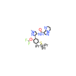 CC(C)[Si](Sc1ccc(OC(F)F)c(-c2nn(C)cc2NC(=O)c2cnn3cccnc23)c1)(C(C)C)C(C)C